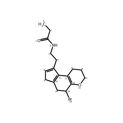 CCC(=O)NCCC1=CCC2=C1C1=C(OCCC1)C(Br)C2